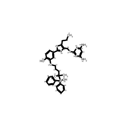 CCCc1sc(-c2ccc(O)c(OCCCC(C)(C)[Si](O)(c3ccccc3)c3ccccc3)c2)nc1CSc1nc(N)cc(N)n1